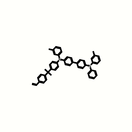 C=Cc1ccc(C(C)(C)c2ccc(N(c3ccc(-c4ccc(N(c5ccccc5)c5cccc(C)c5)cc4)cc3)c3cccc(C)c3)cc2)cc1